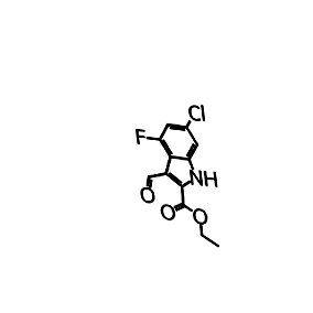 CCOC(=O)c1[nH]c2cc(Cl)cc(F)c2c1C=O